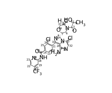 CC(O)C(=O)N1C[C@H](c2nc(-c3ccc(C(=O)Nc4cc(C(F)(F)F)ccn4)cc3Cl)c3c(N)ncc(Cl)n23)OC[C@@H]1C